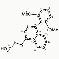 COc1cccc(OC)c1-c1ccc(CCC(=O)O)c2ncccc12